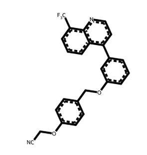 N#CCOc1ccc(COc2cccc(-c3ccnc4c(C(F)(F)F)cccc34)c2)cc1